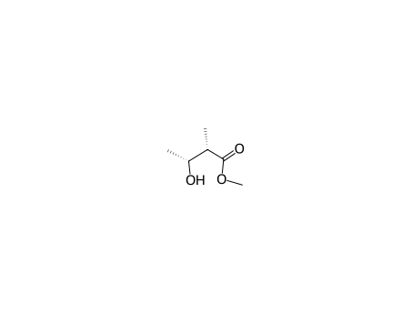 COC(=O)[C@@H](C)[C@@H](C)O